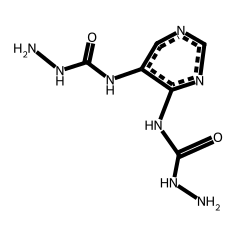 NNC(=O)Nc1cncnc1NC(=O)NN